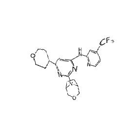 FC(F)(F)c1ccnc(Nc2cc(C3CCOCC3)nc(N3C4CCC3COC4)n2)c1